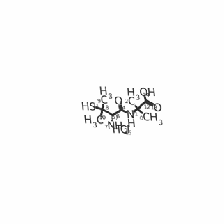 CC(C)(NC(=O)[C@H](N)C(C)(C)S)C(=O)O.Cl